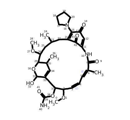 COC1/C=C\C=C(/C)C(=O)NC2=CC(=O)C(N3CCCC3)=C(CC(C)CC(OC)C3OC(O)C(=CC3C)C1OC(N)=O)C2=O